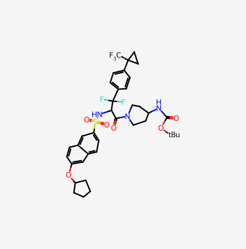 CC(C)(C)OC(=O)NC1CCN(C(=O)C(NS(=O)(=O)c2ccc3cc(OC4CCCC4)ccc3c2)C(F)(F)c2ccc(C3(C(F)(F)F)CC3)cc2)CC1